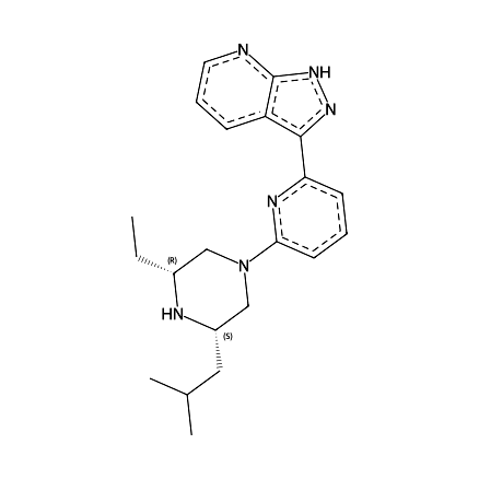 CC[C@@H]1CN(c2cccc(-c3n[nH]c4ncccc34)n2)C[C@H](CC(C)C)N1